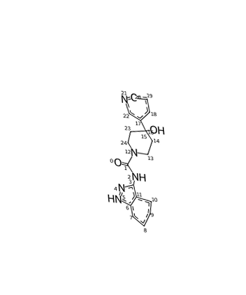 O=C(Nc1n[nH]c2ccccc12)N1CCC(O)(c2cccnc2)CC1